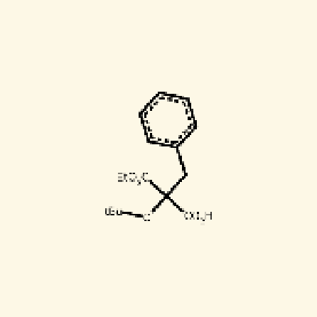 CCOC(=O)C(Cc1ccccc1)(OC(C)(C)C)C(=O)O